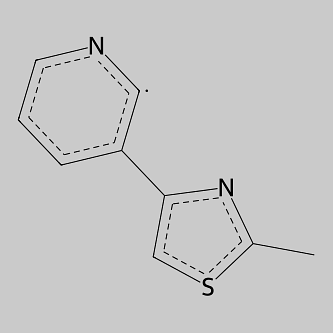 Cc1nc(-c2[c]nccc2)cs1